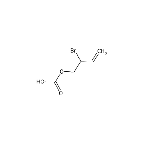 C=CC(Br)COC(=O)O